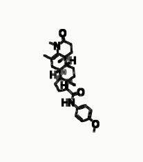 COc1ccc(NC(=O)C2CC[C@H]3[C@@H]4CC(C)=C5N(C)C(=O)CC[C@]5(C)[C@@H]4CC[C@]23C)cc1